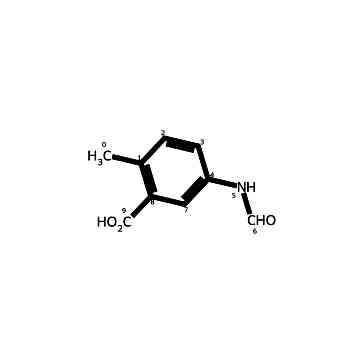 Cc1ccc(NC=O)cc1C(=O)O